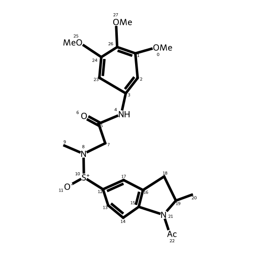 COc1cc(NC(=O)CN(C)[S+]([O-])c2ccc3c(c2)CC(C)N3C(C)=O)cc(OC)c1OC